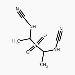 CC(NC#N)S(=O)(=O)C(C)NC#N